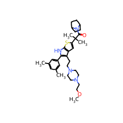 COCCN1CCN(CCc2c(-c3cc(C)cc(C)c3)[nH]c3sc(C(C)(C)C(=O)N4C5CCC4CC5)cc23)CC1